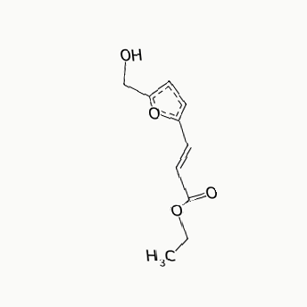 CCOC(=O)/C=C/c1ccc(CO)o1